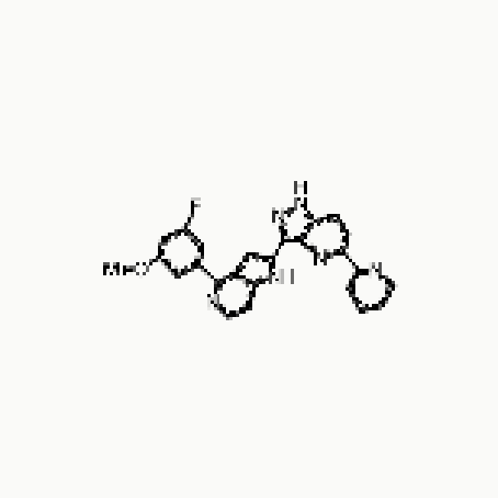 COc1cc(F)cc(-c2nccc3[nH]c(-c4n[nH]c5ccc(-c6ccccn6)nc45)cc23)c1